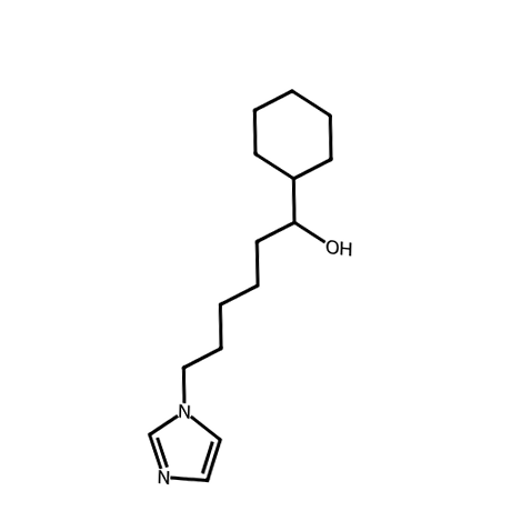 OC(CCCCCn1ccnc1)C1CCCCC1